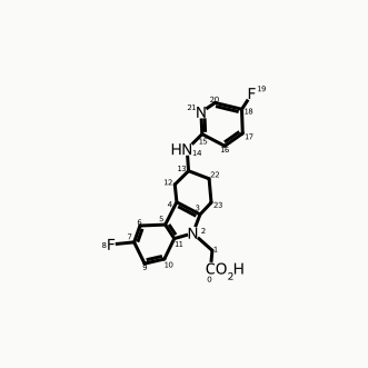 O=C(O)Cn1c2c(c3cc(F)ccc31)CC(Nc1ccc(F)cn1)CC2